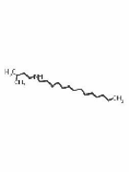 CCCCCCCCCCCCCCNCCC(C)C